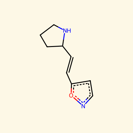 C(=CC1CCCN1)c1ccno1